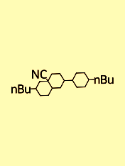 CCCCC1CCC(C2CCC3(C#N)CC(CCCC)CCC3C2)CC1